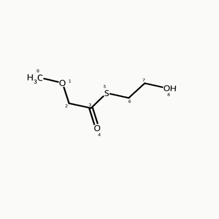 COCC(=O)SCCO